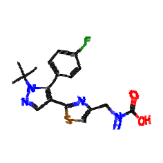 CC(C)(C)n1ncc(-c2nc(CNC(=O)O)cs2)c1-c1ccc(F)cc1